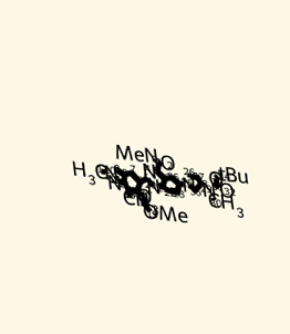 CNC(=O)c1nc(-c2cc3cn(C)nc3c(C)c2OCOC)nc2ccc(N3CCC(N(C)C(=O)OC(C)(C)C)C3)cc12